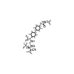 CC(C)(F)C[C@H](N[C@@H](c1ccc(-c2ccc(CC(=O)NC3CC3)cc2)cc1)C(F)F)C(=O)NC1(C#N)CC1